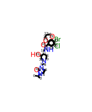 CC(C)n1ccn(CCN2CC[C@@H](CNC(=O)c3cc(Cl)c(Br)c4c3OCCCO4)[C@H](O)C2)c1=O